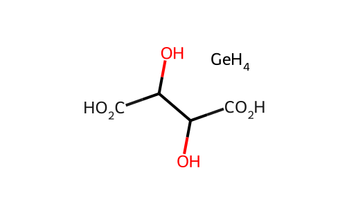 O=C(O)C(O)C(O)C(=O)O.[GeH4]